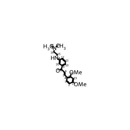 COc1ccc(C=CC(=O)c2cccc(NCCN(C)C)c2)c(OC)c1